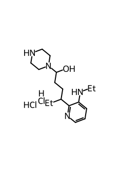 CCNc1cccnc1C(CC)CCC(O)N1CCNCC1.Cl.Cl